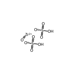 O=S(=O)([O-])O.O=S(=O)([O-])O.[O]=[Zr+2]